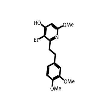 CCc1c(O)cc(OC)nc1CCc1ccc(OC)c(OC)c1